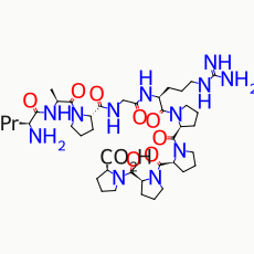 CC(C)[C@H](N)C(=O)N[C@@H](C)C(=O)N1CCC[C@H]1C(=O)NCC(=O)N[C@@H](CCCNC(=N)N)C(=O)N1CCC[C@H]1C(=O)N1CCC[C@H]1C(=O)N1CCC[C@H]1C(=O)N1CCC[C@H]1C(=O)O